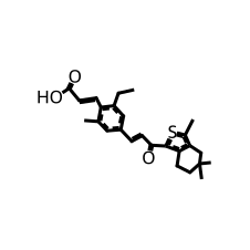 CCc1cc(/C=C/C(=O)c2sc(C)c3c2CCC(C)(C)C3)cc(C)c1/C=C/C(=O)O